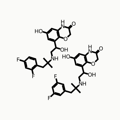 CC(C)(Cc1cc(F)cc(F)c1)NCC(O)c1cc(O)cc2c1OCC(=O)N2.CC(C)(Cc1ccc(F)cc1F)NCC(O)c1cc(O)cc2c1OCC(=O)N2